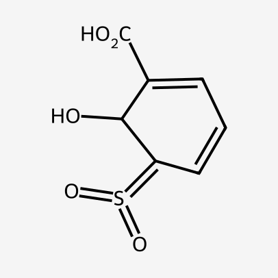 O=C(O)C1=CC=CC(=S(=O)=O)C1O